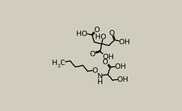 CCCCCONC(CO)C(=O)O.O=C(O)CC(O)(CC(=O)O)C(=O)O